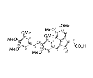 COc1cc2c(cc1OC)/C(=C\c1cc(OC)c(OCc3cc(OC)c(OC)c(OC)c3)c(OC)c1)C(C)=C2CC(=O)O